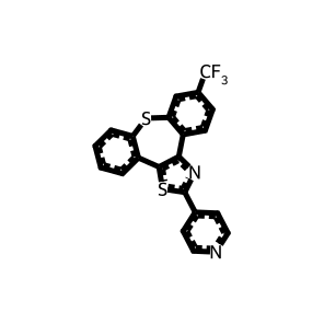 FC(F)(F)c1ccc2c(c1)Sc1ccccc1-c1sc(-c3ccncc3)nc1-2